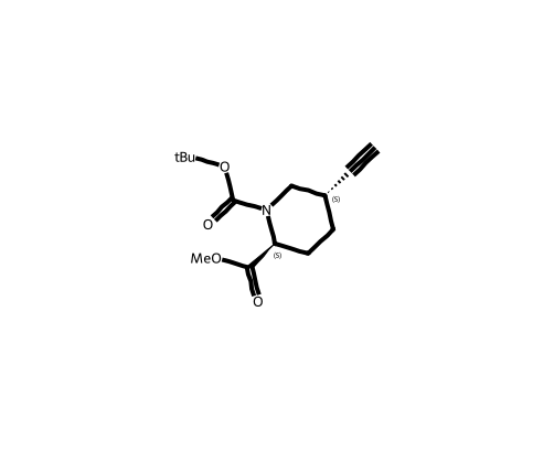 C#C[C@@H]1CC[C@@H](C(=O)OC)N(C(=O)OC(C)(C)C)C1